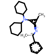 Cc1c(N(C2CCCCC2)C2CCCCC2)/c1=N\[C@@H](C)c1ccccc1